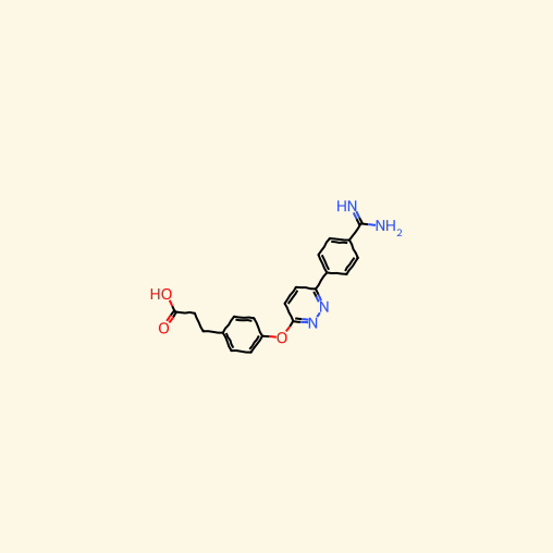 N=C(N)c1ccc(-c2ccc(Oc3ccc(CCC(=O)O)cc3)nn2)cc1